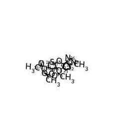 CC(=O)O[C@@H]1[C@@H](OC(C)=O)[C@H](OC(C)=O)CS[C@H]1Oc1cccc2c1ncn2C